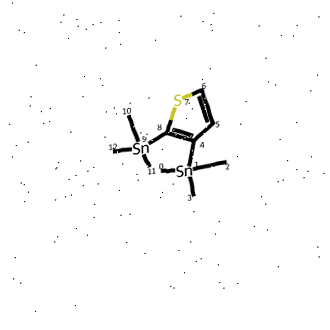 [CH3][Sn]([CH3])([CH3])[c]1ccs[c]1[Sn]([CH3])([CH3])[CH3]